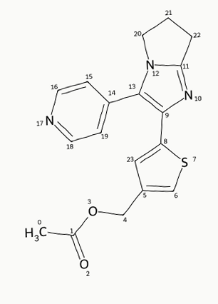 CC(=O)OCc1csc(-c2nc3n(c2-c2ccncc2)CCC3)c1